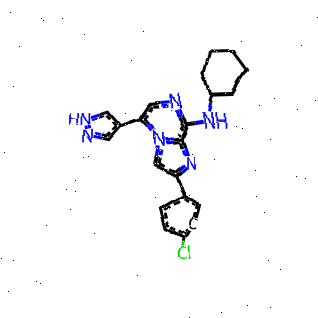 Clc1ccc(-c2cn3c(-c4cn[nH]c4)cnc(NC4CCCCC4)c3n2)cc1